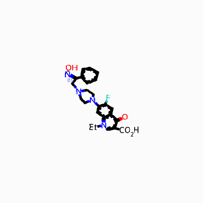 CCn1cc(C(=O)O)c(=O)c2cc(F)c(N3CCN(C/C(=N/O)c4ccccc4)CC3)cc21